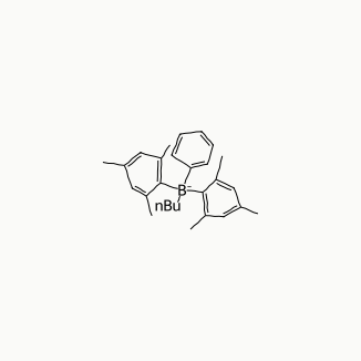 CCCC[B-](c1ccccc1)(c1c(C)cc(C)cc1C)c1c(C)cc(C)cc1C